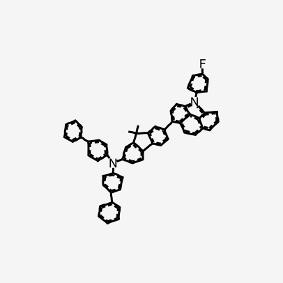 CC1(C)c2cc(-c3ccc4c5c3ccc3cccc(c35)n4-c3ccc(F)cc3)ccc2-c2ccc(N(c3ccc(-c4ccccc4)cc3)c3ccc(-c4ccccc4)cc3)cc21